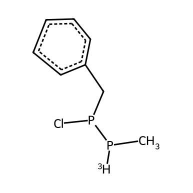 [3H]P(C)P(Cl)Cc1ccccc1